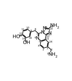 NCc1ccc2nc(Cc3ccc(O)c(O)c3)n3nc(N)nc3c2c1